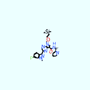 C[C@@H](NC(=O)c1cn(COCC[Si](C)(C)C)c2ncc(-c3nn(C)c4cc(F)ccc34)nc12)c1ccccn1